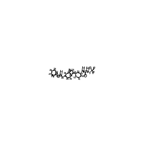 O=C(NCC(F)(F)F)Nc1cccc(-c2cnc3cc(CNOc4ncccn4)ccn23)c1